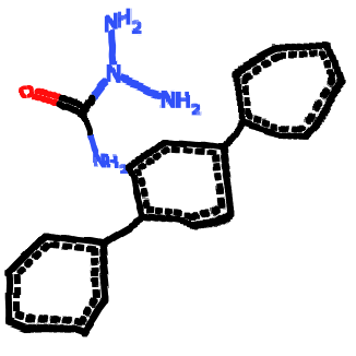 NC(=O)N(N)N.c1ccc(-c2ccc(-c3ccccc3)cc2)cc1